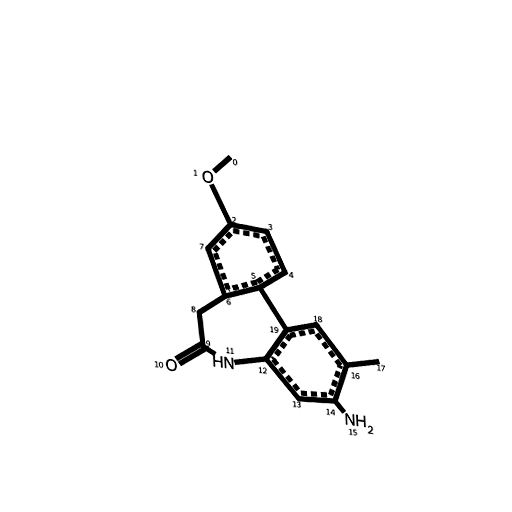 COc1ccc2c(c1)CC(=O)Nc1cc(N)c(C)cc1-2